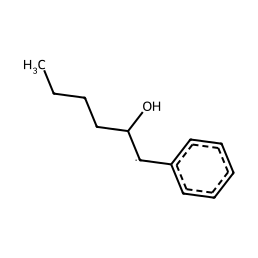 CCCCC(O)[CH]c1ccccc1